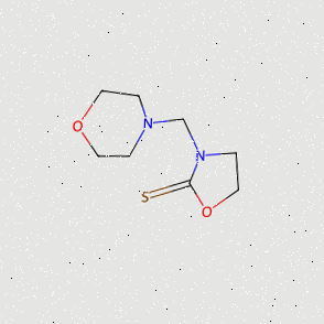 S=C1OCCN1CN1CCOCC1